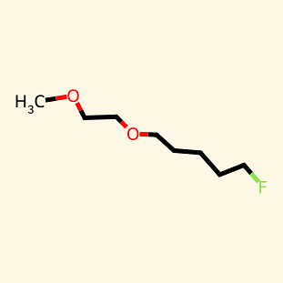 COCCOCCCCCF